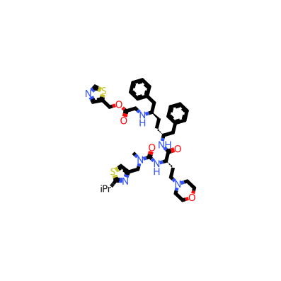 CC(C)c1nc(CN(C)C(=O)N[C@@H](CCN2CCOCC2)C(=O)N[C@H](CC[C@H](Cc2ccccc2)NCC(=O)OCc2cncs2)Cc2ccccc2)cs1